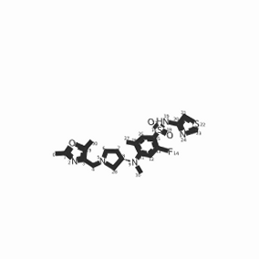 Cc1nc(CN2CC[C@H](N(C)c3cc(F)c(S(=O)(=O)Nc4cscn4)cc3C)C2)c(C)o1